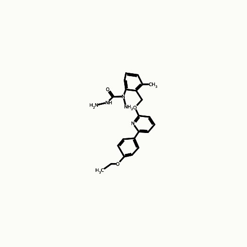 CCOc1ccc(-c2cccc(OCc3c(C)cccc3N(N)C(=O)NN)n2)cc1